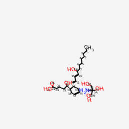 CCCCCCCCC(O)C=CC=C[C@@H]1CC=CC[C@H]1C(O)CCCC(=O)O.NC(CO)(CO)CO